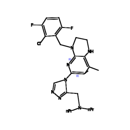 C/C=C(\N=C1/C(=C(C)C)NCCN1Cc1c(F)ccc(F)c1Cl)n1cnnc1CN(CCC)CCC